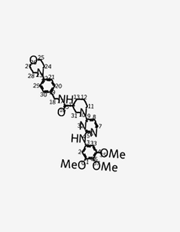 COc1cc(Nc2nccc(N3CCCC(C(=O)NCc4ccc(N5CCOCC5)cc4)C3)n2)cc(OC)c1OC